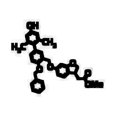 COC(=O)C[C@@H]1COc2cc(OCc3cc(-c4c(C)cc(O)cc4C)ccc3OCc3ccccc3)ccc21